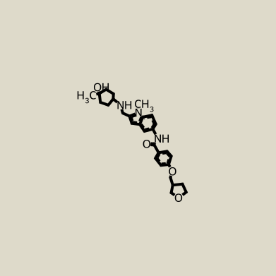 Cn1c(CNC2CCC(C)(O)CC2)cc2cc(NC(=O)c3ccc(OCC4CCOC4)cc3)ccc21